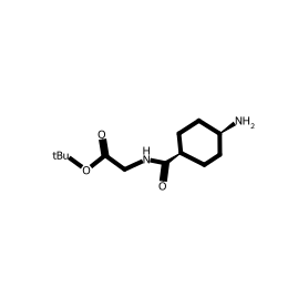 CC(C)(C)OC(=O)CNC(=O)[C@H]1CC[C@@H](N)CC1